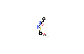 COc1cccc(CSc2nnc(NC(=O)CCC3CCCC3)s2)c1